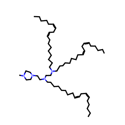 CCCCC/C=C\C/C=C\CCCCCCCCN(CCCCCCCC/C=C\C/C=C\CCCCC)CCN(CCCCCCCC/C=C\C/C=C\CCCCC)CCN1CCN(C)CC1